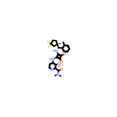 Cc1ccccc1[C@H](Nc1c(Nc2ccnc(C(=O)N(C)C)c2O)c(=O)c1=O)[C@@]1(C)CCC(F)(F)C1